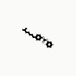 CC(C)CCCCCc1ccc(OC(=O)Oc2ccccc2)cc1